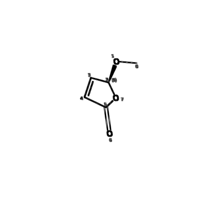 CO[C@@H]1C=CC(=O)O1